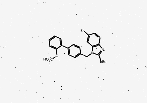 CCCCc1nc2ncc(Br)cc2n1Cc1ccc(-c2ccccc2OC(=O)O)cc1